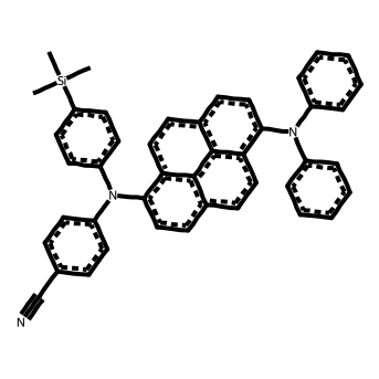 C[Si](C)(C)c1ccc(N(c2ccc(C#N)cc2)c2ccc3ccc4c(N(c5ccccc5)c5ccccc5)ccc5ccc2c3c54)cc1